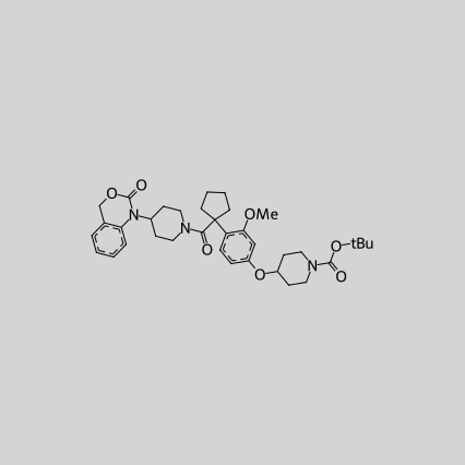 COc1cc(OC2CCN(C(=O)OC(C)(C)C)CC2)ccc1C1(C(=O)N2CCC(N3C(=O)OCc4ccccc43)CC2)CCCC1